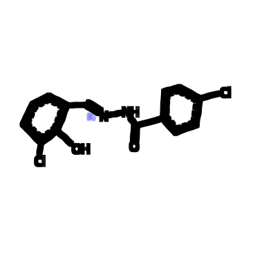 O=C(N/N=C/c1cccc(Cl)c1O)c1ccc(Cl)cc1